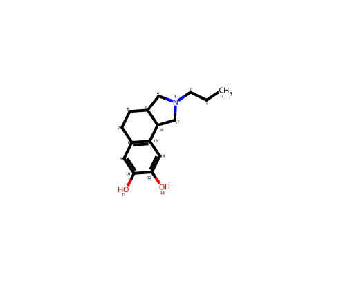 CCCN1CC2CCc3cc(O)c(O)cc3C2C1